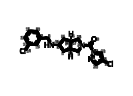 O=C(N1C[C@H]2C[C@@H](NCc3cccc(Cl)c3)C[C@H]2C1)n1cc(Cl)cn1